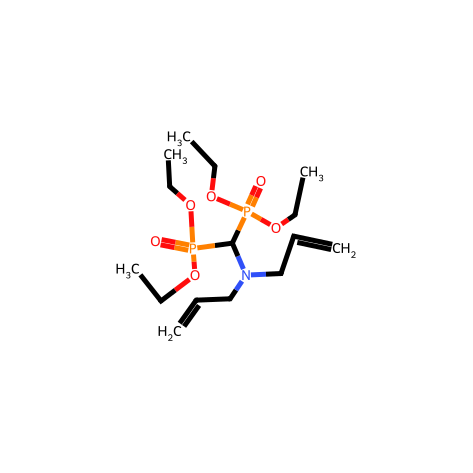 C=CCN(CC=C)C(P(=O)(OCC)OCC)P(=O)(OCC)OCC